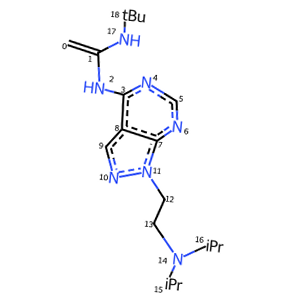 C=C(Nc1ncnc2c1cnn2CCN(C(C)C)C(C)C)NC(C)(C)C